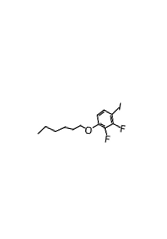 CCCCCCOc1ccc(I)c(F)c1F